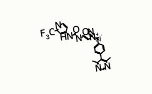 Cc1ncnc(C)c1-c1ccc([C@@H](C)[n+]2cc([N-]C(=O)Nc3ccnc(C(F)(F)F)c3)on2)cc1